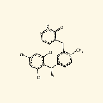 Cc1ccc(C(=O)c2c(Cl)cc(Cl)cc2Cl)cc1Cc1ccn[nH]c1=O